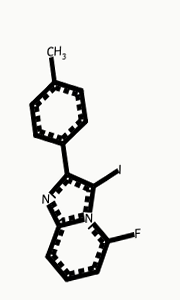 Cc1ccc(-c2nc3cccc(F)n3c2I)cc1